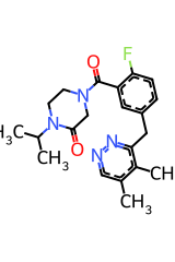 Cc1cnnc(Cc2ccc(F)c(C(=O)N3CCN(C(C)C)C(=O)C3)c2)c1C